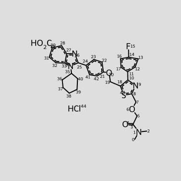 CN(C)C(=O)COCc1nc(-c2ccc(F)cc2)c(COc2ccc(-c3nc4cc(C(=O)O)ccc4n3C3CCCCC3)cc2)s1.Cl